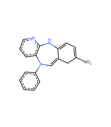 O=[N+]([O-])C1=CC=C2Nc3ncccc3N(c3ccccc3)C=C2C1